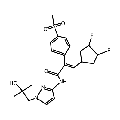 CC(C)(O)Cn1ccc(NC(=O)/C(=C/C2CC(F)C(F)C2)c2ccc(S(C)(=O)=O)cc2)n1